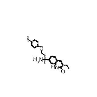 CCc1cc2ccc(C(C)(N)CCOc3ccc(SC)cc3)cc2[nH]c1=O